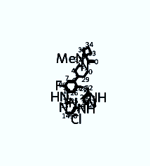 C=C(N1CCC(c2cc(F)c(Nc3ncc(Cl)c(Nc4cc(C)[nH]n4)n3)cc2C)CC1)C1(NC)CCC1